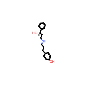 Oc1ccc(CCCNCC[C@H](O)c2ccccc2)cc1